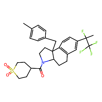 Cc1ccc(CC23CCN(C(=O)C4CCS(=O)(=O)CC4)C2CCc2cc(C(C)(F)C(F)(F)F)ccc23)cc1